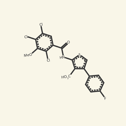 COc1c(Cl)c(Cl)cc(C(=O)Nc2scc(-c3ccc(F)cc3)c2C(=O)O)c1Cl